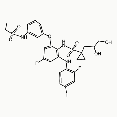 CCS(=O)(=O)Nc1cccc(Oc2cc(F)cc(Nc3ccc(I)cc3F)c2NS(=O)(=O)C2(CC(O)CO)CC2)c1